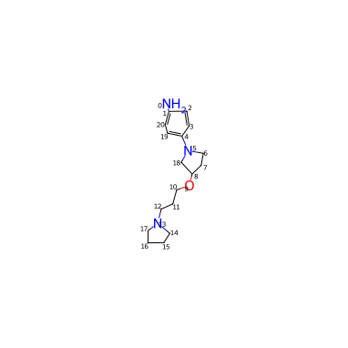 Nc1ccc(N2CCC(OCCCN3CCCC3)C2)cc1